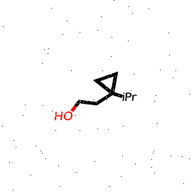 CC(C)C1(CCO)CC1